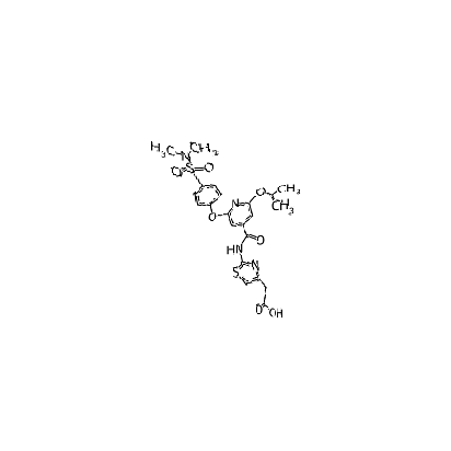 CC(C)Oc1cc(C(=O)Nc2nc(CC(=O)O)cs2)cc(Oc2ccc(S(=O)(=O)N(C)C)cc2)n1